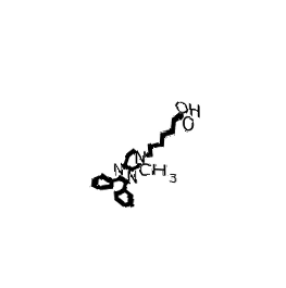 CC1c2nc(-c3ccccc3)c(-c3ccccc3)nc2CCN1CCCCCCC(=O)O